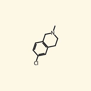 CN1CCc2cc(Cl)ccc2C1